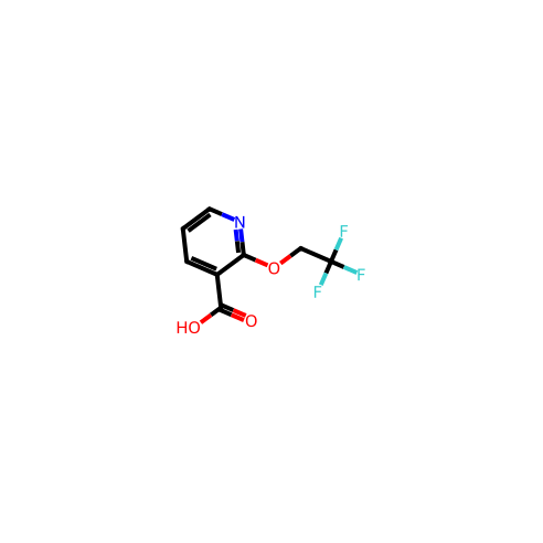 O=C(O)c1cccnc1OCC(F)(F)F